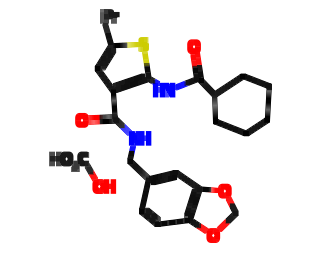 CC(C)c1cc(C(=O)NCc2ccc3c(c2)OCO3)c(NC(=O)C2CCCCC2)s1.O=C(O)O